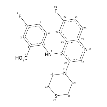 O=C(O)c1cc(F)ccc1Nc1c(N2CCSCC2)cnc2ccc(F)cc12